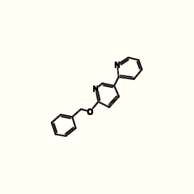 c1ccc(COc2ccc(-c3ccccn3)cn2)cc1